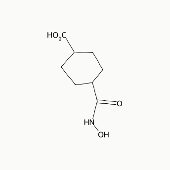 O=C(O)C1CCC(C(=O)NO)CC1